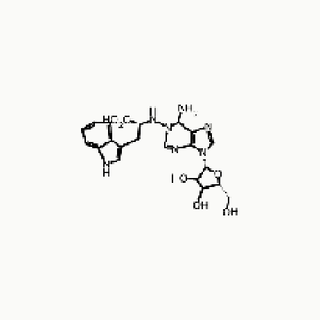 NC1c2ncn([C@@H]3O[C@H](CO)C(O)C3O)c2N=CN1N[C@@H](Cc1c[nH]c2ccccc12)C(=O)O